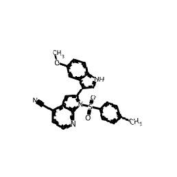 COc1ccc2[nH]cc(-c3cc4c(C#N)ccnc4n3S(=O)(=O)c3ccc(C)cc3)c2c1